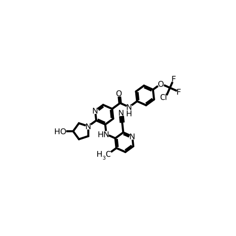 Cc1ccnc(C#N)c1Nc1cc(C(=O)Nc2ccc(OC(F)(F)Cl)cc2)cnc1N1CCC(O)C1